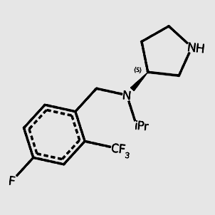 CC(C)N(Cc1ccc(F)cc1C(F)(F)F)[C@H]1CCNC1